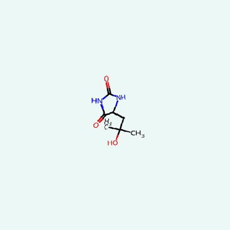 CC(C)(O)CC1NC(=O)NC1=O